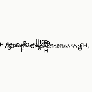 CC(=O)CCCCCCCCCCCCCCCCCCC(=O)N[C@@H](CCC(=O)NCCOCCOCC(=O)NCCOCCOCC(C)=O)C(=O)O